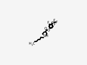 CCCCCCC[SiH]1CCC(C(=O)Oc2ccc(OC(F)(F)F)c(F)c2)CC1